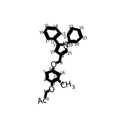 CC(=O)COc1ccc(OCc2cc(-c3ccccc3)n(-c3ccccc3)c2)cc1C